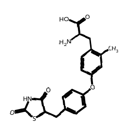 Cc1cc(Oc2ccc(CC3SC(=O)NC3=O)cc2)ccc1CC(N)C(=O)O